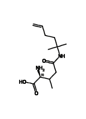 C=CCCC(C)(C)NC(=O)CC(C)[C@H](N)C(=O)O